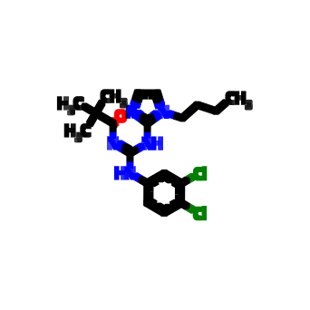 CCCCn1ccnc1N/C(=N\C(=O)C(C)(C)C)Nc1ccc(Cl)c(Cl)c1